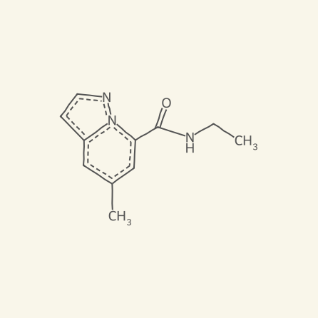 CCNC(=O)c1cc(C)cc2ccnn12